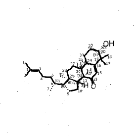 CC(C)=CCC[C@@H](C)[C@H]1CC[C@H]2[C@@H]3C(=O)C=C4C(C)(C)[C@@H](O)CC[C@]4(C)[C@H]3CC[C@]12C